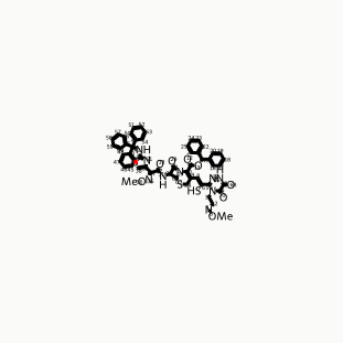 CON=CCn1c(C(S)=CC2=C(C(=O)OC(c3ccccc3)c3ccccc3)N3C(=O)C(NC(=O)C(=NOC)c4csc(NC(c5ccccc5)(c5ccccc5)c5ccccc5)n4)C3SC2)n[nH]c(=O)c1=O